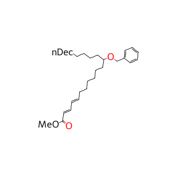 CCCCCCCCCCCCCCC(CCCCCCC=CC=CC(=O)OC)OCc1ccccc1